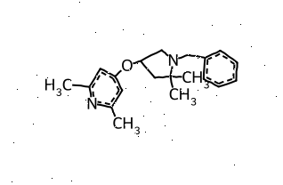 Cc1cc(OC2CN(Cc3ccccc3)C(C)(C)C2)cc(C)n1